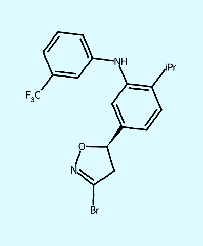 CC(C)c1ccc([C@H]2CC(Br)=NO2)cc1Nc1cccc(C(F)(F)F)c1